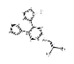 CC(=O)/C=C(/C)O.[Ir].c1csc(-c2cccnc2-c2cccs2)c1